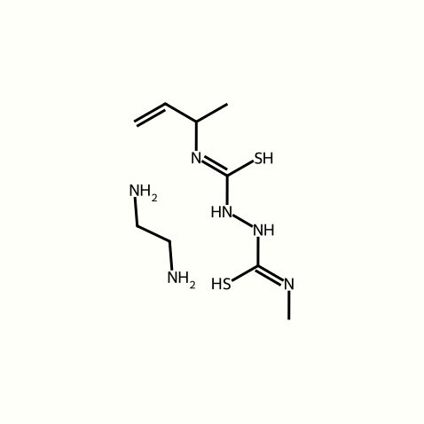 C=CC(C)N=C(S)NNC(S)=NC.NCCN